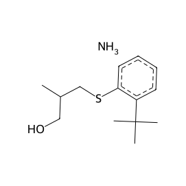 CC(CO)CSc1ccccc1C(C)(C)C.N